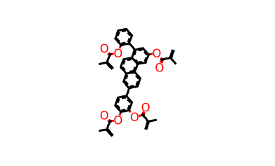 C=C(C)C(=O)Oc1cc(-c2ccccc2OC(=O)C(=C)C)c2ccc3cc(-c4ccc(OC(=O)C(=C)C)c(OC(=O)C(=C)C)c4)ccc3c2c1